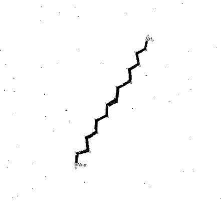 CCCCCCCCCCCCCCCC=CCCCCCCN